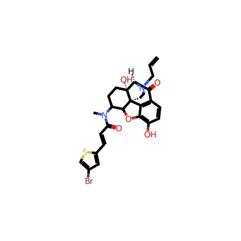 C=CCN1CC[C@]23c4c5ccc(O)c4OC2C(N(C)C(=O)/C=C/c2cc(Br)cs2)CC[C@@]3(O)[C@H]1C5=O